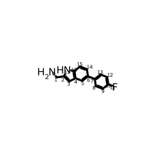 NCc1cc2cc(-c3ccc(F)cc3)ccc2[nH]1